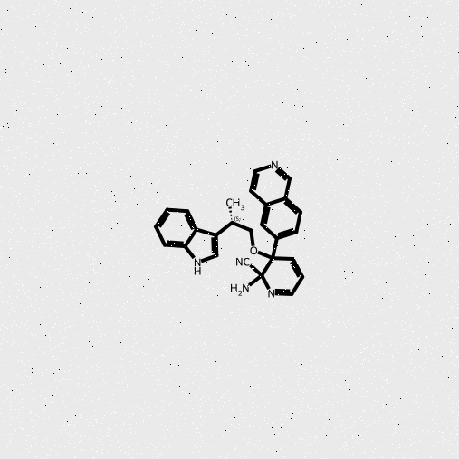 C[C@H](COC1(c2ccc3cnccc3c2)C=CC=NC1(N)C#N)c1c[nH]c2ccccc12